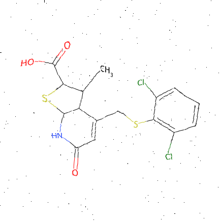 CC1C(C(=O)O)SC2NC(=O)C=C(CSc3c(Cl)cccc3Cl)C21